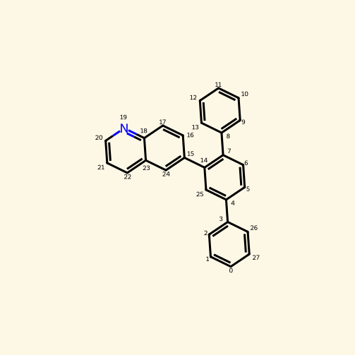 c1ccc(-c2ccc(-c3ccccc3)c(-c3ccc4ncccc4c3)c2)cc1